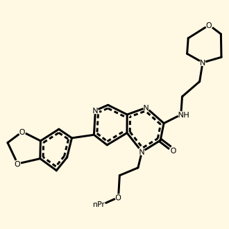 CCCOCCn1c(=O)c(NCCN2CCOCC2)nc2cnc(-c3ccc4c(c3)OCO4)cc21